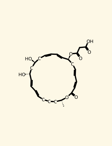 C[C@@H]1CCC/C=C/C=C/[C@H](O)C[C@@H](O)C/C=C\C=C\[C@@H](OC(=O)CC(=O)O)C/C=C/C=C\C(=O)O1